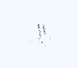 CCOC(=O)C(C(=O)OCC)C(C)C(F)(F)C(F)(F)C(F)(F)C(F)(F)C(F)(F)C(F)(F)F